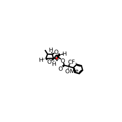 CO[C@@](C(=O)O[C@H]1[C@H]2O[C@@H]3C(C)[C@H]1O[C@H]2C3C)(c1ccccc1)C(F)(F)F